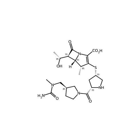 C[C@@H](O)[C@H]1C(=O)N2C(C(=O)O)=C(S[C@@H]3CN[C@H](C(=O)N4CC[C@@H](CN(C)C(N)=O)C4)C3)[C@H](C)[C@H]12